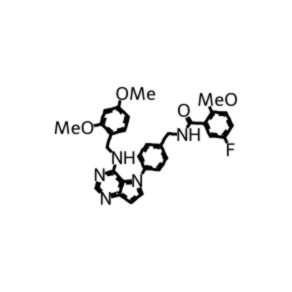 COc1ccc(CNc2ncnc3ccn(-c4ccc(CNC(=O)c5cc(F)ccc5OC)cc4)c23)c(OC)c1